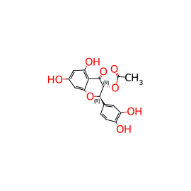 CC(=O)O[C@H]1C(=O)c2c(O)cc(O)cc2O[C@@H]1c1ccc(O)c(O)c1